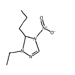 CCCC1N(CC)N=CN1[N+](=O)[O-]